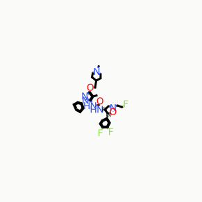 Cc1c(OCC2CCN(C)CC2)nn(-c2ccccc2)c1NC(=O)N[C@@H]1CN(CCF)O[C@H]1c1ccc(F)c(F)c1